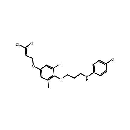 Cc1cc(OCC=C(Cl)Cl)cc(Cl)c1OCCCNc1ccc(Cl)cc1